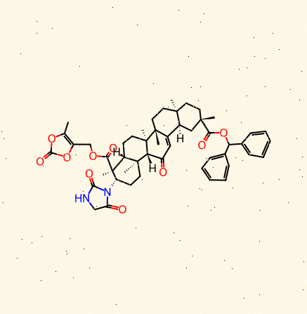 Cc1oc(=O)oc1COC(=O)[C@]1(C)[C@@H](N2C(=O)CNC2=O)CC[C@@]2(C)[C@H]1CC[C@]1(C)[C@@H]2C(=O)C=C2[C@@H]3C[C@@](C)(C(=O)OC(c4ccccc4)c4ccccc4)CC[C@]3(C)CC[C@]21C